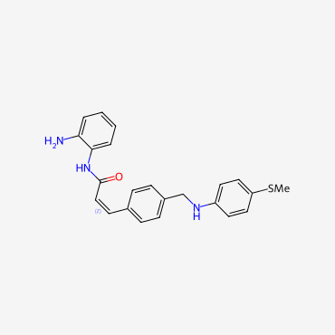 CSc1ccc(NCc2ccc(/C=C\C(=O)Nc3ccccc3N)cc2)cc1